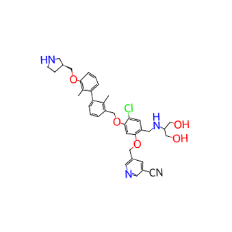 Cc1c(COc2cc(OCc3cncc(C#N)c3)c(CNC(CO)CO)cc2Cl)cccc1-c1cccc(OC[C@H]2CCNC2)c1C